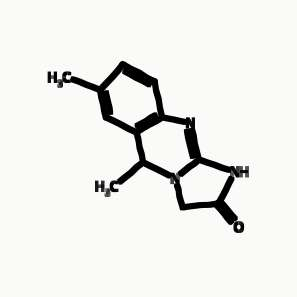 Cc1ccc2c(c1)C(C)N1CC(=O)NC1=N2